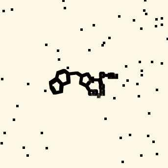 CC(C)(C)OC(=O)N1CC(Cc2ccc3ccccc3c2)CC1C(=O)O